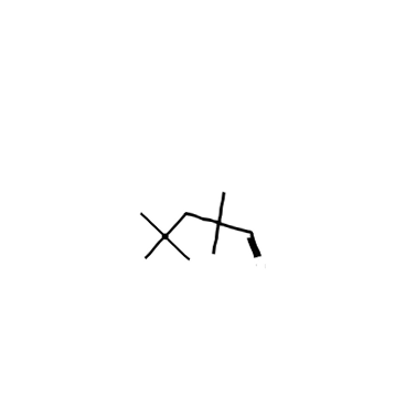 CC(C)(C)CC(C)(C)C=O